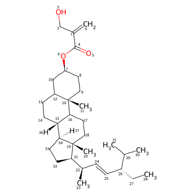 C=C(CO)C(=O)O[C@H]1CC[C@@]2(C)C(CC[C@@H]3C2CC[C@]2(C)[C@@H]([C@H](C)/C=C/[C@@H](CC)C(C)C)CC[C@@H]32)C1